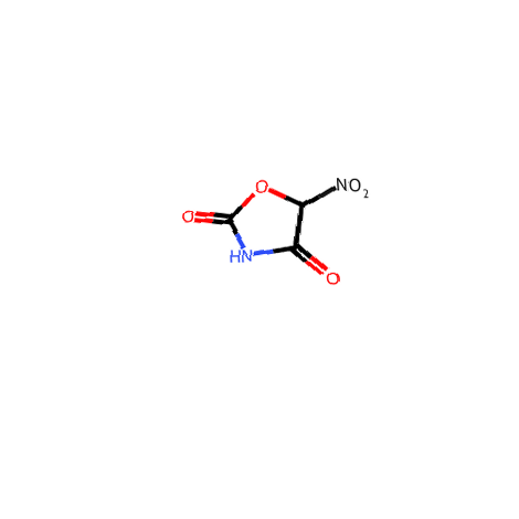 O=C1NC(=O)C([N+](=O)[O-])O1